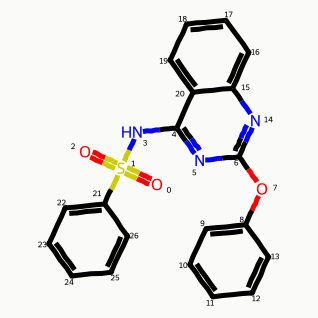 O=S(=O)(Nc1nc(Oc2ccccc2)nc2ccccc12)c1ccccc1